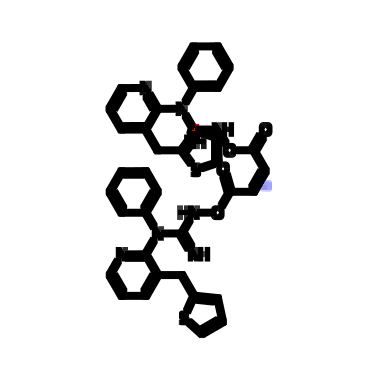 N=C(NOC(=O)/C=C\C(=O)ONC(=N)N(c1ccccc1)c1ncccc1Cc1cccs1)N(c1ccccc1)c1ncccc1Cc1cccs1